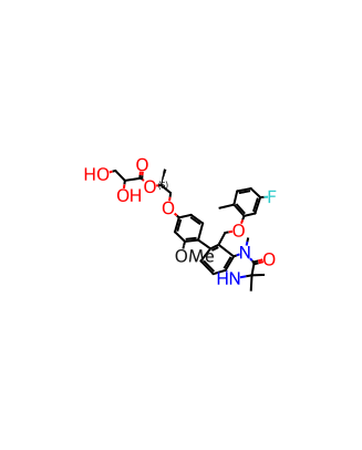 COc1cc(OC[C@H](C)OC(=O)C(O)CO)ccc1-c1ccc2c(c1COc1cc(F)ccc1C)N(C)C(=O)C(C)(C)N2